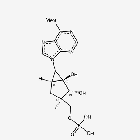 CNc1ncnc2c1ncn2C1[C@@H]2C[C@](C)(COP(=O)(O)O)[C@@H](O)[C@@]12O